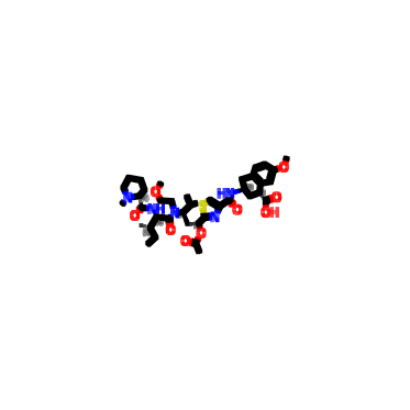 CC[C@H](C)[C@H](NC(=O)[C@H]1CCCCN1C)C(=O)N(CCOC)[C@H](C[C@@H](OC(C)=O)c1nc(C(=O)N[C@H]2Cc3ccc(OC)cc3[C@H](C(=O)O)C2)cs1)C(C)C